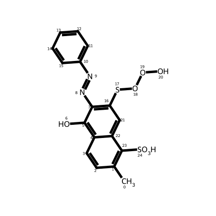 Cc1ccc2c(O)c(N=Nc3ccccc3)c(SOOO)cc2c1S(=O)(=O)O